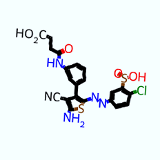 N#Cc1c(N)sc(N=Nc2ccc(Cl)c(S(=O)O)c2)c1-c1cccc(NC(=O)CCC(=O)O)c1